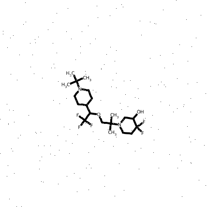 CC(C)(C)N1CCC(C(OCC(C)(C)N2CCC(F)(F)C(O)C2)C(F)(F)F)CC1